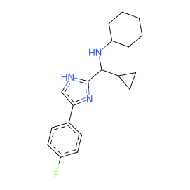 Fc1ccc(-c2c[nH]c(C(NC3CCCCC3)C3CC3)n2)cc1